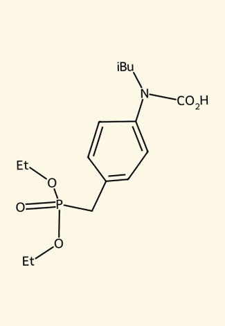 CCOP(=O)(Cc1ccc(N(C(=O)O)C(C)CC)cc1)OCC